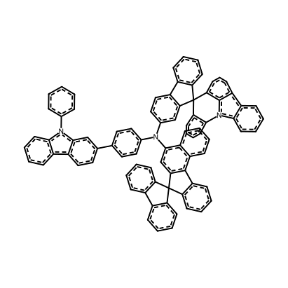 c1ccc(-n2c3ccccc3c3ccc(-c4ccc(N(c5ccc6c(c5)C5(c7ccccc7-6)c6ccccc6-n6c7ccccc7c7cccc5c76)c5cc6c(c7ccccc57)-c5ccccc5C65c6ccccc6-c6ccccc65)cc4)cc32)cc1